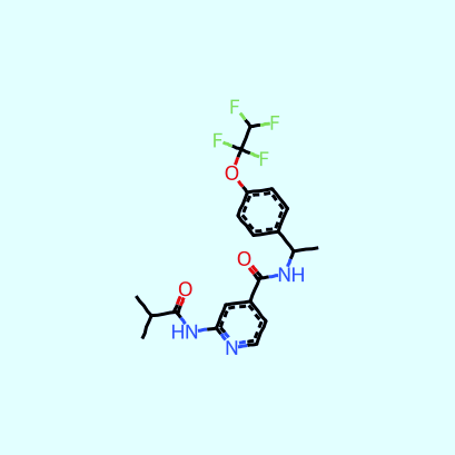 CC(C)C(=O)Nc1cc(C(=O)NC(C)c2ccc(OC(F)(F)C(F)F)cc2)ccn1